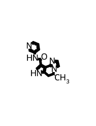 C[C@@H]1Cc2[nH]cc(C(=O)Nc3cccnc3)c2-c2nccn21